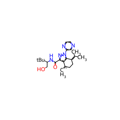 CC(C)=C1CC[C@@H](C)c2c(C(=O)NC(CO)C(C)(C)C)nn(-c3cnccn3)c21